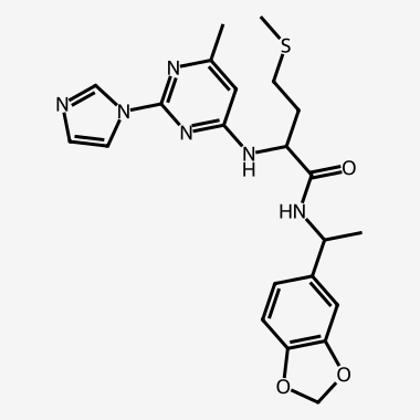 CSCCC(Nc1cc(C)nc(-n2ccnc2)n1)C(=O)NC(C)c1ccc2c(c1)OCO2